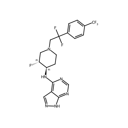 F[C@@H]1CN(CC(F)(F)c2ccc(C(F)(F)F)cc2)CC[C@H]1Nc1ncnc2[nH]ncc12